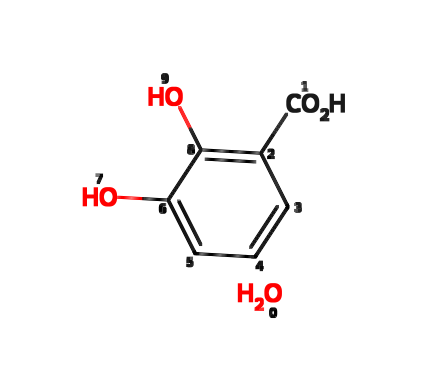 O.O=C(O)c1cccc(O)c1O